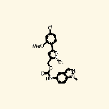 CCn1nc(-c2ccc(Cl)cc2OC)cc1COC(=O)Nc1ccc2c(cnn2C)c1